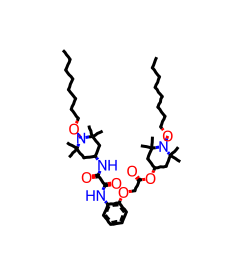 CCCCCCCCON1C(C)(C)CC(NC(=O)C(=O)Nc2ccccc2OCC(=O)OC2CC(C)(C)N(OCCCCCCCC)C(C)(C)C2)CC1(C)C